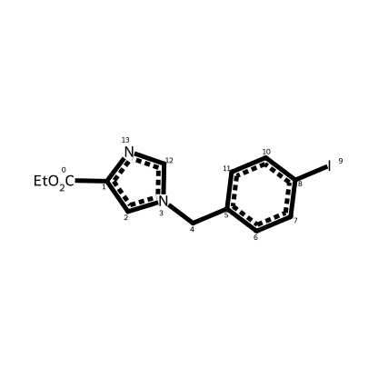 CCOC(=O)c1cn(Cc2ccc(I)cc2)cn1